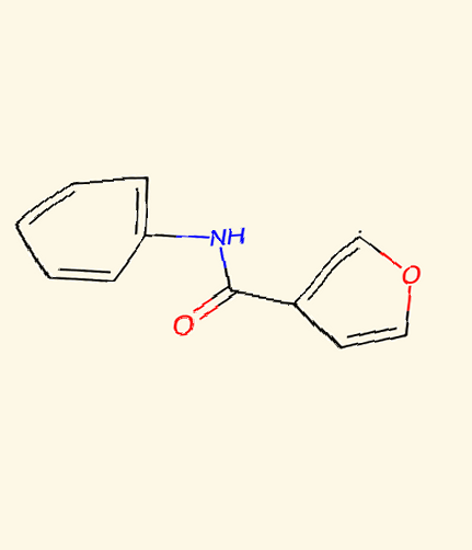 O=C(Nc1ccccc1)c1[c]occ1